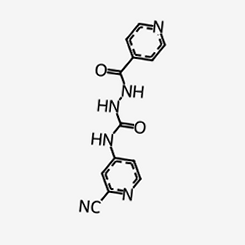 N#Cc1cc(NC(=O)NNC(=O)c2ccncc2)ccn1